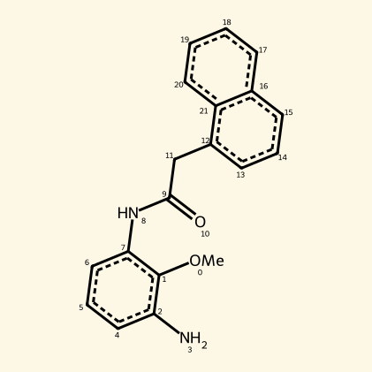 COc1c(N)cccc1NC(=O)Cc1cccc2ccccc12